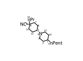 CCCCCC1CCN([C@H]2CC[C@@](C#N)(CCC)CC2)CC1